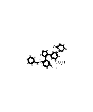 O=C(O)c1cc(C2=C(c3cc(C(F)(F)F)ccc3OCc3ccccc3)CCC2)cc(N2CCCCC2=O)c1